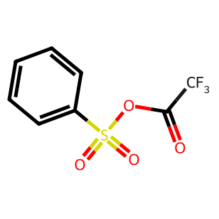 O=C(OS(=O)(=O)c1ccccc1)C(F)(F)F